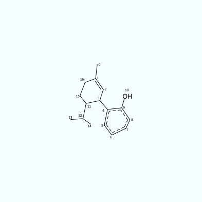 CC1=CC(c2ccccc2O)C(C(C)C)CC1